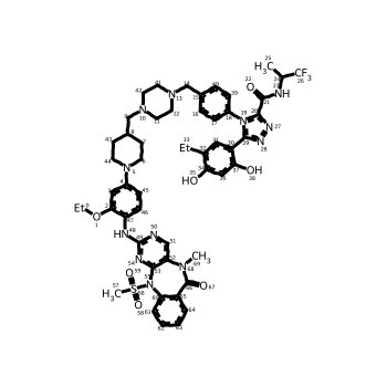 CCOc1cc(N2CCC(CN3CCN(Cc4ccc(-n5c(C(=O)NC(C)C(F)(F)F)nnc5-c5cc(CC)c(O)cc5O)cc4)CC3)CC2)ccc1Nc1ncc2c(n1)N(S(C)(=O)=O)c1ccccc1C(=O)N2C